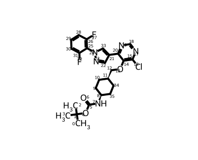 CC(C)(C)OC(=O)N[C@H]1CC[C@@H](COc2c(Cl)ncnc2-c2cnn(-c3c(F)cccc3F)c2)CC1